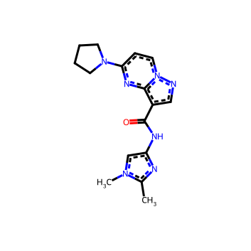 Cc1nc(NC(=O)c2cnn3ccc(N4CCCC4)nc23)cn1C